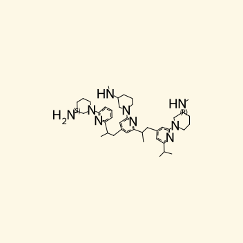 CNC1CCCN(c2cc(CC(C)c3cccc(N4CCC[C@H](N)C4)n3)cc(C(C)Cc3cc(C(C)C)nc(N4CCC[C@@H](NC)C4)c3)n2)C1